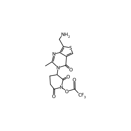 Cc1nc2c(CN)scc2c(=O)n1C1CCC(=O)N(OC(=O)C(F)(F)F)C1=O